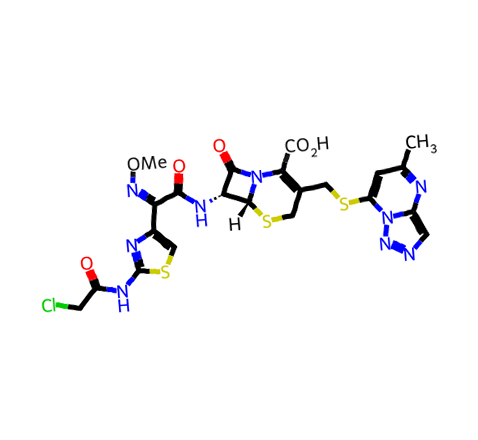 CO/N=C(\C(=O)N[C@@H]1C(=O)N2C(C(=O)O)=C(CSc3cc(C)nc4cnnn34)CS[C@H]12)c1csc(NC(=O)CCl)n1